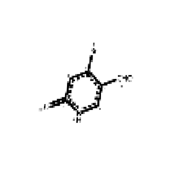 O=Cc1c[nH]c(=O)cc1Br